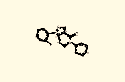 Cc1ccccc1-n1ncc2c(=O)n(-c3ccccc3)cnc21